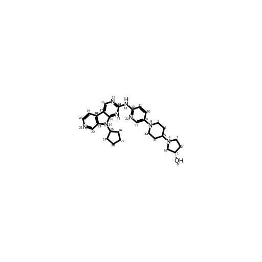 O[C@H]1CCN(C2CCN(c3ccc(Nc4ncc5c6ccncc6n(C6CCCC6)c5n4)nc3)CC2)C1